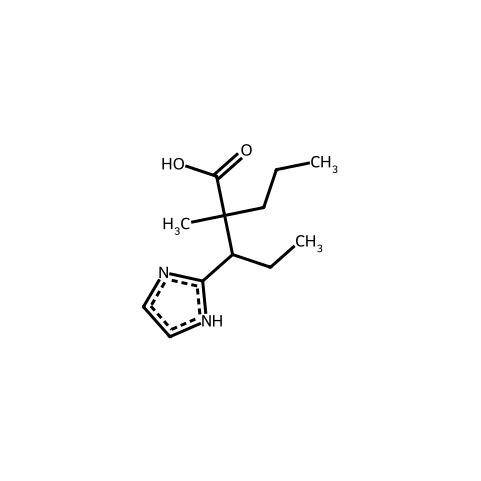 CCCC(C)(C(=O)O)C(CC)c1ncc[nH]1